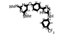 CNc1nc(Oc2ccc(-c3nnc(Nc4cccc(C(F)(F)F)c4)[nH]3)cc2)cc(SC)n1